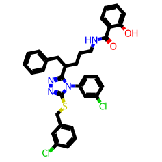 O=C(NCCCC(Cc1ccccc1)c1nnc(SCc2cccc(Cl)c2)n1-c1cccc(Cl)c1)c1ccccc1O